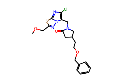 COCc1nn2c(CN3CC(CCOCc4ccccc4)CC3=O)c(Cl)nc2s1